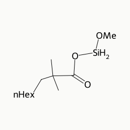 CCCCCCCC(C)(C)C(=O)O[SiH2]OC